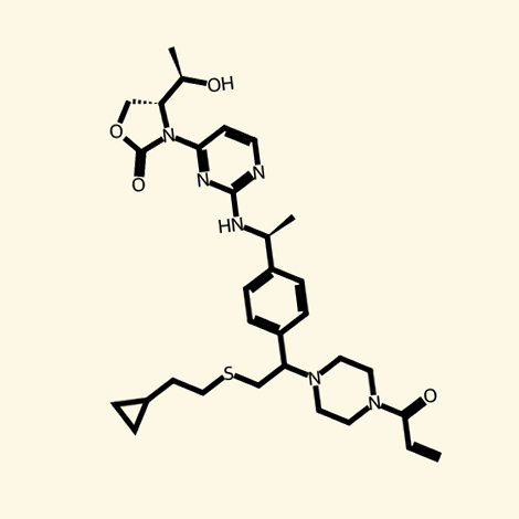 C=CC(=O)N1CCN(C(CSCCC2CC2)c2ccc([C@H](C)Nc3nccc(N4C(=O)OC[C@@H]4[C@@H](C)O)n3)cc2)CC1